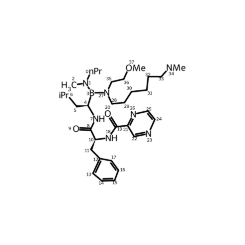 CCCN(C)B([C@H](CC(C)C)NC(=O)[C@H](Cc1ccccc1)NC(=O)c1cnccn1)N(CCCCCCNC)CCOC